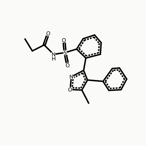 CCC(=O)NS(=O)(=O)c1ccccc1-c1noc(C)c1-c1ccccc1